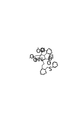 COC(=O)CC1=C(C(=O)OC)C(c2c(Cl)cccc2Cl)C(C(=O)OC)=C(CCc2ccccc2CSc2ccccc2)N1